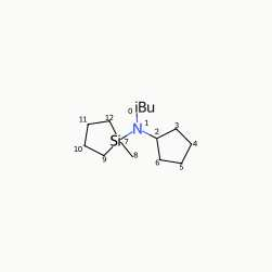 CCC(C)N(C1CCCC1)[Si]1(C)CCCC1